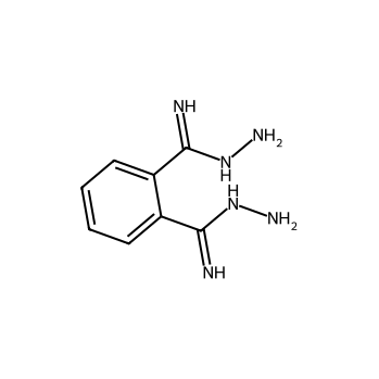 N=C(NN)c1ccccc1C(=N)NN